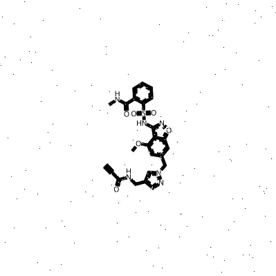 C#CC(=O)NCc1cnn(Cc2cc(OC)c3c(NS(=O)(=O)c4ccccc4C(=O)NC)noc3c2)c1